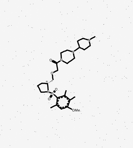 COc1cc(C)c(S(=O)(=O)N2CCC[C@@H]2COCC(=O)N2CCN(C3CCN(C)CC3)CC2)c(C)c1C